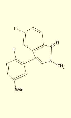 CSc1ccc(F)c(-c2cn(C)c(=O)c3ccc(F)cc23)c1